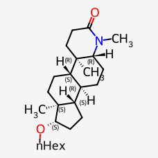 CCCCCCO[C@H]1CC[C@H]2[C@@H]3CC[C@H]4N(C)C(=O)CC[C@]4(C)[C@H]3CC[C@]12C